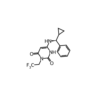 O=c1cc(N[C@H](c2ccccc2)C2CC2)[nH]c(=O)n1CC(F)(F)F